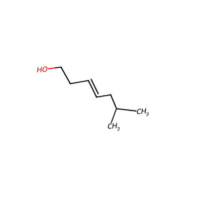 CC(C)C/C=C/CCO